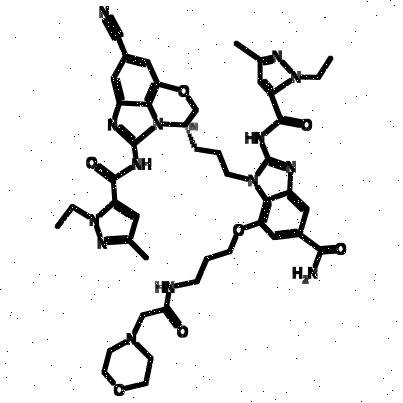 CCn1nc(C)cc1C(=O)Nc1nc2cc(C(N)=O)cc(OCCCNC(=O)CN3CCOCC3)c2n1CCC[C@H]1COc2cc(C#N)cc3nc(NC(=O)c4cc(C)nn4CC)n1c23